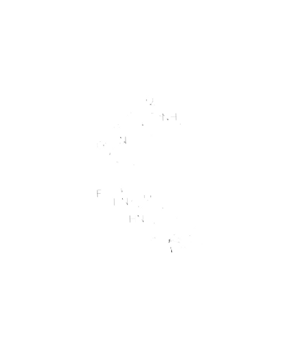 C[C@]12CC3CC(NC(=O)Nc4ccc(C(=O)N5CCC(C(N)=O)CC5)cc4F)(C1)C[C@@](C)(C3)C2